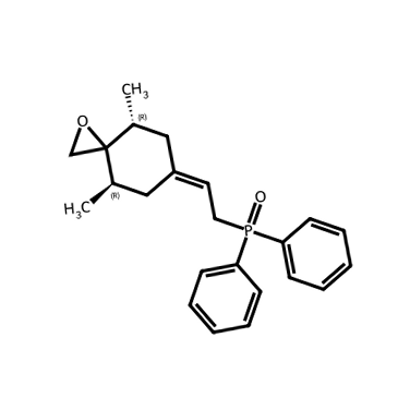 C[C@@H]1CC(=CCP(=O)(c2ccccc2)c2ccccc2)C[C@@H](C)C12CO2